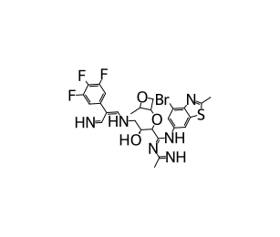 CC(=N)/N=C(\Nc1cc(Br)c2nc(C)sc2c1)C(OC1COC1C)[C@@H](O)CN/C=C(\C=N)c1cc(F)c(F)c(F)c1